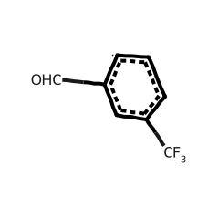 O=Cc1[c]ccc(C(F)(F)F)c1